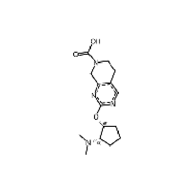 CN(C)[C@H]1CCC[C@H]1Oc1ncc2c(n1)CN(C(=O)O)CC2